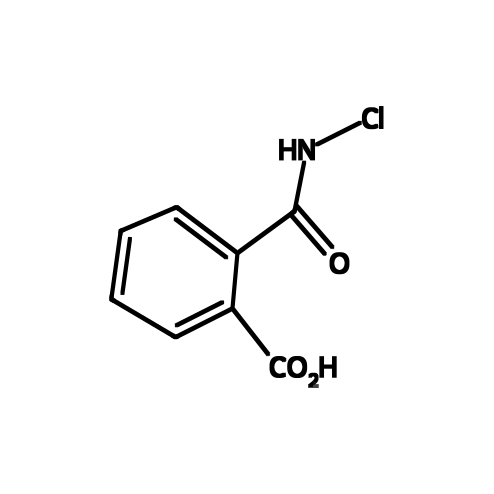 O=C(O)c1ccccc1C(=O)NCl